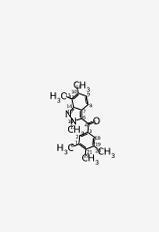 Cc1cc(C(=O)c2c3ccc(C)c(C)c3nn2C)cc(C)c1C